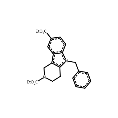 CCOC(=O)c1ccc2c(c1)c1c(n2Cc2ccccc2)CCN(C(=O)OCC)C1